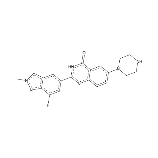 Cn1cc2cc(-c3nc4ccc(N5CCNCC5)cc4c(=O)[nH]3)cc(F)c2n1